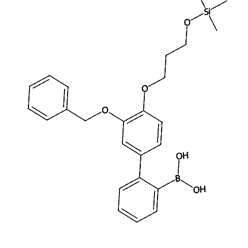 CC(C)(C)[Si](C)(C)OCCCOc1ccc(-c2ccccc2B(O)O)cc1OCc1ccccc1